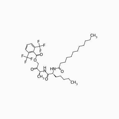 CCCCCCCCCCCC(=O)N[C@@H](CCCCC)C(=O)N[C@@H](C)C(=O)COC(=O)c1c(C(F)(F)F)cccc1C(F)(F)F